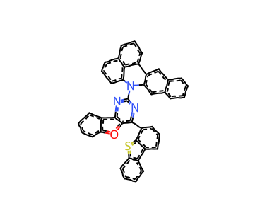 c1ccc2cc3c(cc2c1)-c1cccc2cccc(c12)N3c1nc(-c2cccc3c2sc2ccccc23)c2oc3ccccc3c2n1